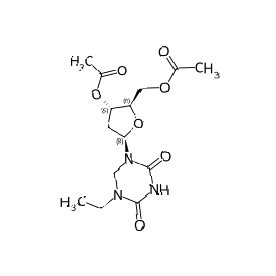 CCN1CN([C@H]2C[C@H](OC(C)=O)[C@@H](COC(C)=O)O2)C(=O)NC1=O